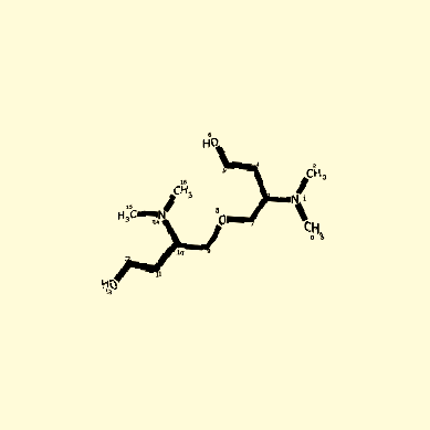 CN(C)C(CCO)COCC(CCO)N(C)C